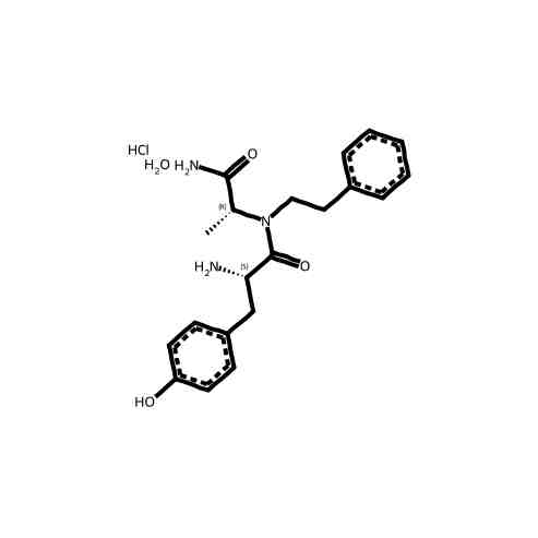 C[C@H](C(N)=O)N(CCc1ccccc1)C(=O)[C@@H](N)Cc1ccc(O)cc1.Cl.O